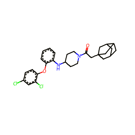 O=C(CC12CC3CC(C1)C(C3)C2)N1CCC(Nc2ccccc2Oc2ccc(Cl)cc2Cl)CC1